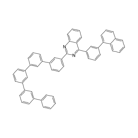 c1ccc(-c2cccc(-c3cccc(-c4cccc(-c5cccc(-c6nc(-c7cccc(-c8cccc9ccccc89)c7)c7ccccc7n6)c5)c4)c3)c2)cc1